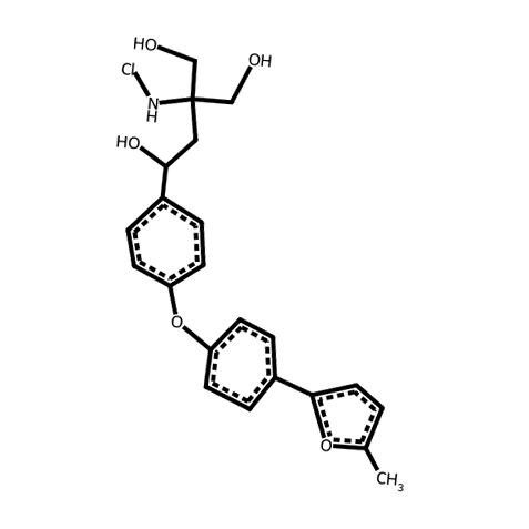 Cc1ccc(-c2ccc(Oc3ccc(C(O)CC(CO)(CO)NCl)cc3)cc2)o1